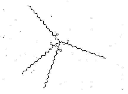 CCCCCCCCCCCCCCCC=CC(=O)OCC(COC(=O)C=CCCCCCCCCCCCCCCC)(COC(=O)C=CCCCCCCCCCCCCCCC)COC(=O)C=CCCCCCCCCCCCCCCC